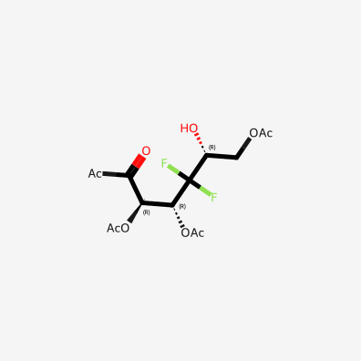 CC(=O)OC[C@@H](O)C(F)(F)[C@H](OC(C)=O)[C@@H](OC(C)=O)C(=O)C(C)=O